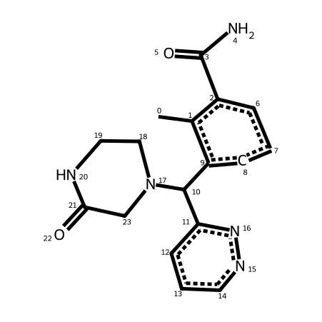 Cc1c(C(N)=O)cccc1C(c1cccnn1)N1CCNC(=O)C1